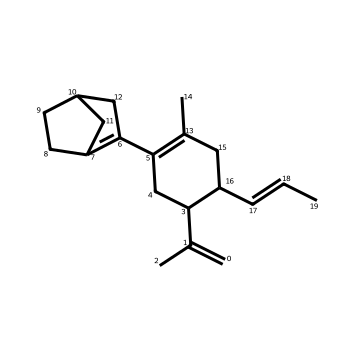 C=C(C)C1CC(C2=C3CCC(C3)C2)=C(C)CC1C=CC